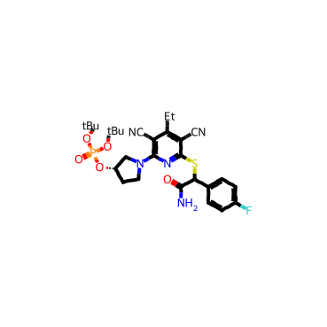 CCc1c(C#N)c(SC(C(N)=O)c2ccc(F)cc2)nc(N2CC[C@H](OP(=O)(OC(C)(C)C)OC(C)(C)C)C2)c1C#N